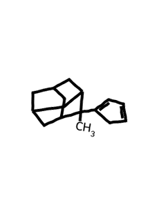 CC1(C2=CC=CC2)C2CC3CC(C2)CC1C3